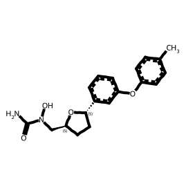 Cc1ccc(Oc2cccc([C@@H]3CC[C@@H](CN(O)C(N)=O)O3)c2)cc1